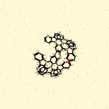 c1ccc2c(c1)c1ncccc1n2-c1cc2c(oc3c(-n4c5ccccc5c5ncccc54)c(-n4c5ccccc5c5ncccc54)c(-n4c5ccccc5c5ncccc54)cc32)c(-n2c3ccccc3c3ncccc32)c1-n1c2ccccc2c2ncccc21